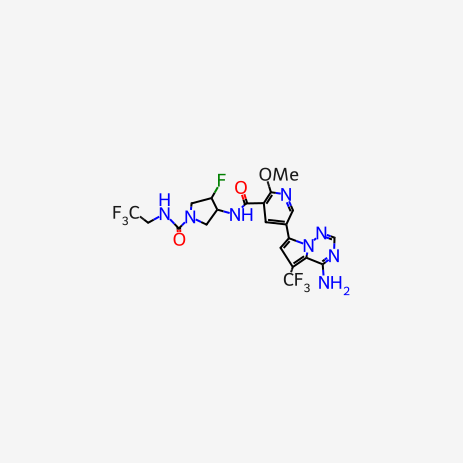 COc1ncc(-c2cc(C(F)(F)F)c3c(N)ncnn23)cc1C(=O)NC1CN(C(=O)NCC(F)(F)F)CC1F